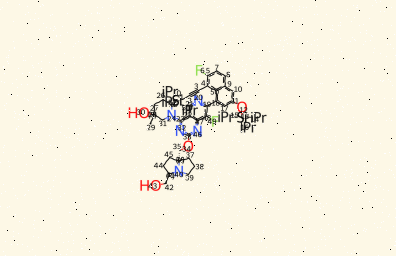 CC(C)[Si](C#Cc1c(F)ccc2cc(O[Si](C(C)C)(C(C)C)C(C)C)cc(-c3ncc4c(N5CCC[C@@](C)(O)C5)nc(OC[C@]56CCCN5[C@@H](CO)CC6)nc4c3F)c12)(C(C)C)C(C)C